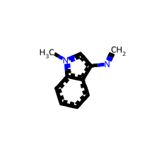 C=Nc1cn(C)c2ccccc12